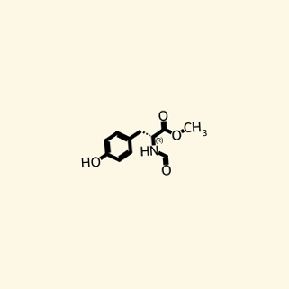 COC(=O)[C@@H](Cc1ccc(O)cc1)NC=O